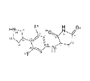 O=C1CCC(Nc2cc(F)c(C3CCNC3)c(F)c2)C(=O)N1